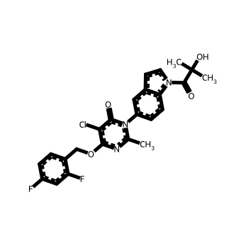 Cc1nc(OCc2ccc(F)cc2F)c(Cl)c(=O)n1-c1ccc2c(ccn2C(=O)C(C)(C)O)c1